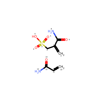 C=C(CS(=O)(=O)O)C(N)=O.C=CC(N)=O